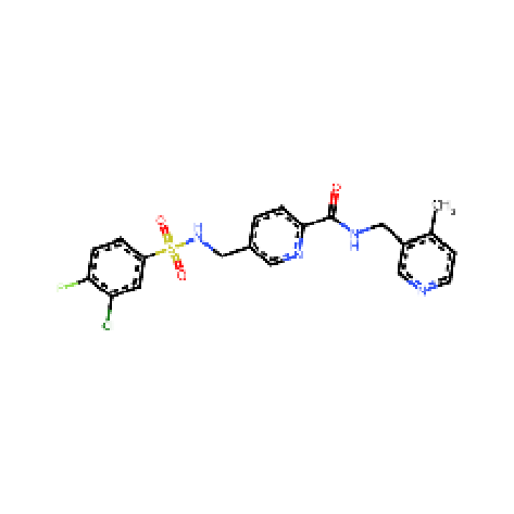 Cc1ccncc1CNC(=O)c1ccc(CNS(=O)(=O)c2ccc(F)c(Cl)c2)cn1